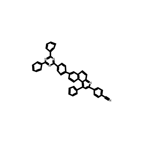 N#Cc1ccc(-c2cc(-c3ccccc3)c3c(ccc4cc(-c5ccc(-c6nc(-c7ccccc7)nc(-c7ccccc7)n6)cc5)ccc43)n2)cc1